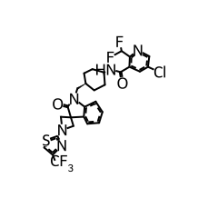 O=C(N[C@H]1CC[C@H](CN2C(=O)C3(CN(c4nc(C(F)(F)F)cs4)C3)c3ccccc32)CC1)c1cc(Cl)cnc1C(F)F